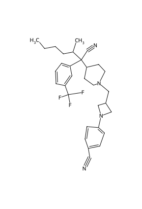 CCCCC(C)C(C#N)(c1cccc(C(F)(F)F)c1)C1CCN(CC2CN(c3ccc(C#N)cc3)C2)CC1